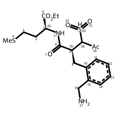 CCOC(=O)[C@H](CCSC)NC(=O)[C@H](Cc1ccccc1CN)C(C(C)=O)[SH](=O)=O